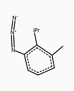 Cc1cccc(N=[N+]=[N-])c1C(C)C